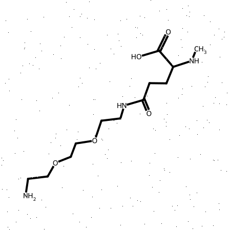 CNC(CCC(=O)NCCOCCOCCN)C(=O)O